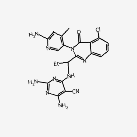 CCC(Nc1nc(N)nc(N)c1C#N)c1nc2cccc(Cl)c2c(=O)n1-c1cnc(N)cc1C